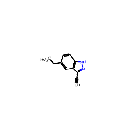 C#Cc1n[nH]c2ccc(CC(=O)O)cc12